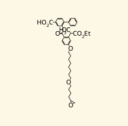 CCOC(=O)C(C)c1cc(OCCCCCCCCOCCCCC2CO2)ccc1C(=O)Oc1cc(C(=O)O)ccc1-c1ccccc1